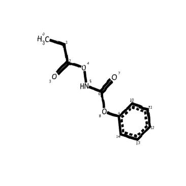 CCC(=O)ONC(=O)Oc1ccccc1